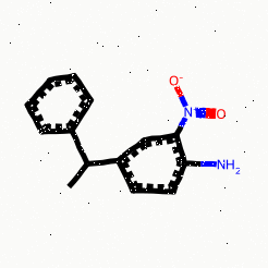 CC(c1ccccc1)c1ccc(N)c([N+](=O)[O-])c1